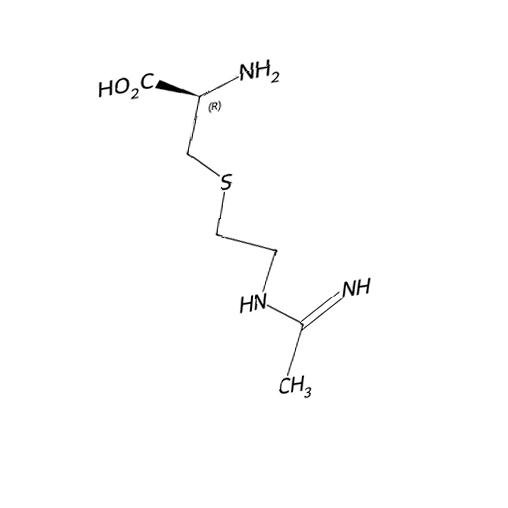 CC(=N)NCCSC[C@H](N)C(=O)O